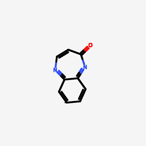 O=c1ccnc2c[c]ccc2n1